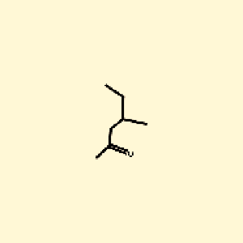 [CH2]CC(C)CC(C)=O